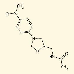 CC(=O)NCC1CN(c2ccc([S+](C)[O-])cc2)CO1